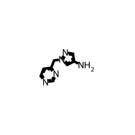 Nc1cnn(Cc2ccncn2)c1